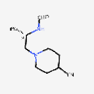 CC(C)[C@@H](CN1CCC(C#N)CC1)NC=O